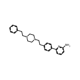 Nc1cccc(-c2ccc(CCN3CCN(CCc4ccccc4)CC3)cc2)n1